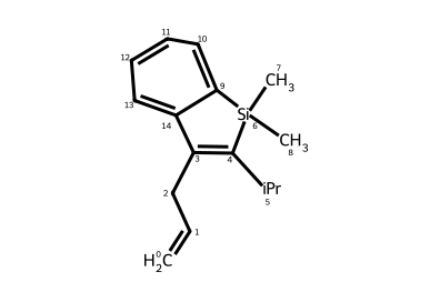 C=CCC1=C(C(C)C)[Si](C)(C)c2ccccc21